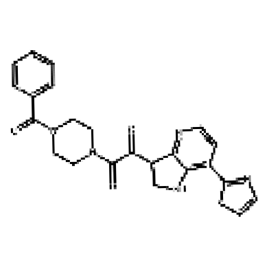 O=C(C(=O)N1CCN(C(=O)c2ccccc2)CC1)C1CNc2c(-c3nccs3)ccnc21